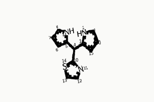 c1c[nH]c(C(c2ccc[nH]2)c2nccs2)c1